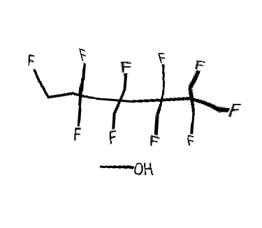 CO.FCC(F)(F)C(F)(F)C(F)(F)C(F)(F)F